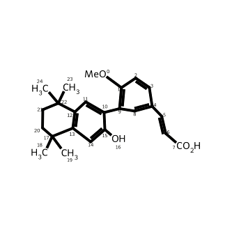 COc1ccc(C=CC(=O)O)cc1-c1cc2c(cc1O)C(C)(C)CCC2(C)C